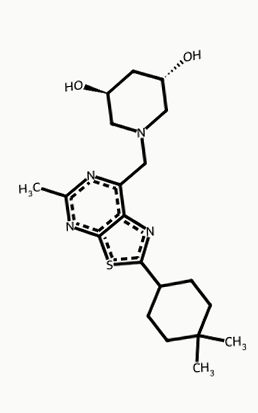 Cc1nc(CN2C[C@@H](O)C[C@H](O)C2)c2nc(C3CCC(C)(C)CC3)sc2n1